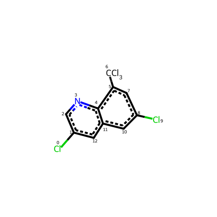 Clc1cnc2c(C(Cl)(Cl)Cl)cc(Cl)cc2c1